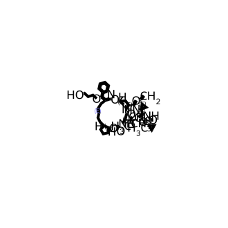 C=C[C@@H]1C[C@]1(NC(=O)[C@@H]1C[C@@H]2CN1C(=O)[C@H](C(C)(C)C)NC(=O)O[C@@H]1CCC[C@H]1CC/C=C/Cc1c(nc3ccccc3c1OCCCO)O2)C(=O)NS(=O)(=O)C1(C)CC1